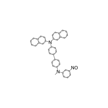 CN(c1ccc(-c2ccc(N(c3ccc4ccccc4c3)c3ccc4ccccc4c3)cc2)cc1)c1cccc(N=O)c1